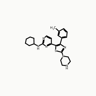 Cc1cccc(-c2nc(N3CCNCC3)sc2-c2ccnc(NC3CCCCC3)n2)c1